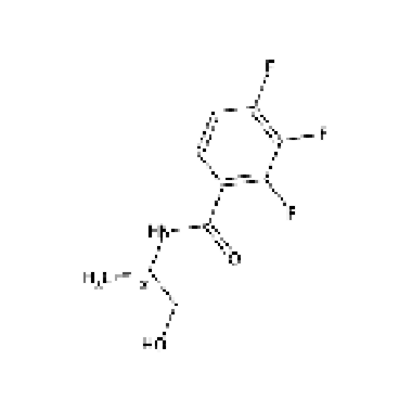 C[C@@H](CO)NC(=O)c1ccc(F)c(F)c1F